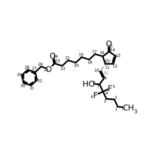 CCCCC(F)(F)C(O)/C=C/[C@H]1C=CC(=O)C1CCCCCCC(=O)OCc1ccccc1